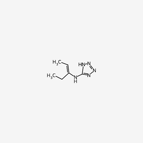 CC=C(CC)Nc1nnn[nH]1